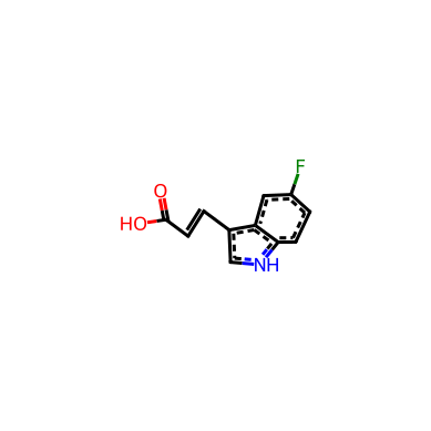 O=C(O)C=Cc1c[nH]c2ccc(F)cc12